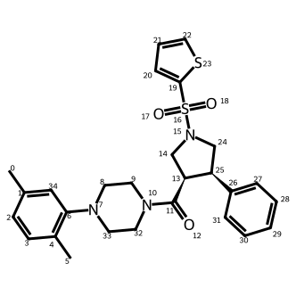 Cc1ccc(C)c(N2CCN(C(=O)[C@H]3CN(S(=O)(=O)c4cccs4)C[C@H]3c3ccccc3)CC2)c1